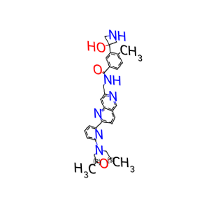 Cc1ccc(C(=O)NCc2cc3nc(-c4cccc(N5C[C@@H](C)O[C@@H](C)C5)n4)ccc3cn2)cc1C1(O)CNC1